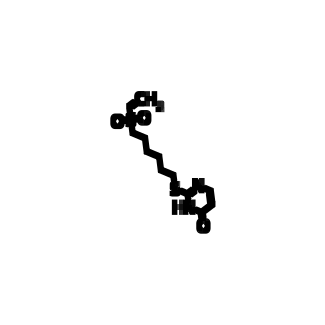 C=CS(=O)(=O)CCCCCCSc1nccc(=O)[nH]1